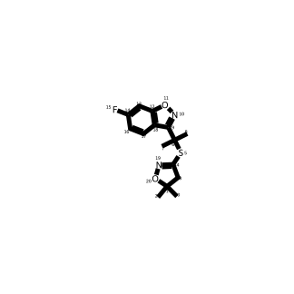 CC1(C)CC(SC(C)(C)c2noc3cc(F)ccc23)=NO1